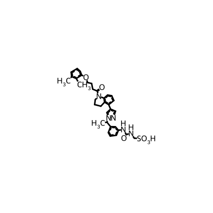 Cc1cccc(OCCCC(=O)N2CCCc3c(-c4cnn(C(C)c5cccc(NC(=O)NCS(=O)(=O)O)c5)c4)cccc32)c1C